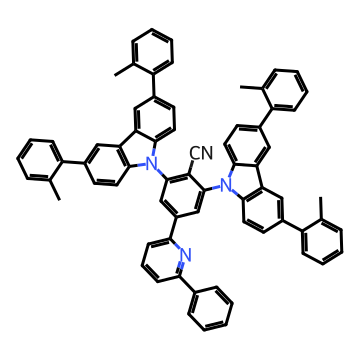 Cc1ccccc1-c1ccc2c(c1)c1cc(-c3ccccc3C)ccc1n2-c1cc(-c2cccc(-c3ccccc3)n2)cc(-n2c3ccc(-c4ccccc4C)cc3c3cc(-c4ccccc4C)ccc32)c1C#N